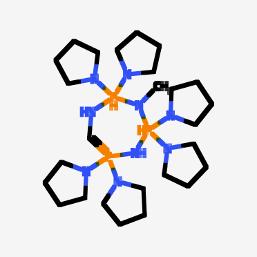 CN1[PH](N2CCCC2)(N2CCCC2)NC=P(N2CCCC2)(N2CCCC2)N[PH]1(N1CCCC1)N1CCCC1